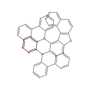 c1ccc(-c2ccccc2N(c2ccccc2)c2ccc3oc4ccc5ccccc5c4c3c2N(c2ccccc2)c2ccccc2-c2ccccc2)cc1